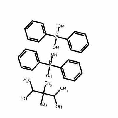 CCCCC(C)(C(C)O)C(C)O.O[PH](O)(c1ccccc1)c1ccccc1.O[PH](O)(c1ccccc1)c1ccccc1